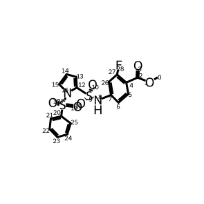 COC(=O)c1ccc(NS(=O)(=O)c2cccn2S(=O)(=O)c2ccccc2)cc1F